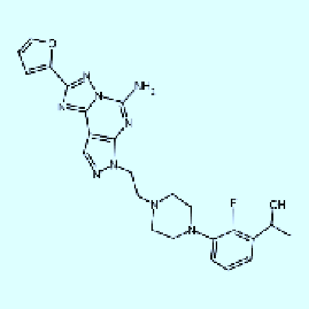 CC(O)c1cccc(N2CCN(CCn3ncc4c3nc(N)n3nc(-c5ccco5)nc43)CC2)c1F